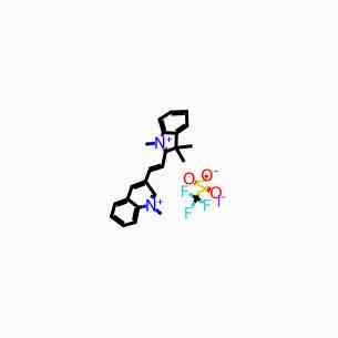 C[N+]1=C(C=Cc2cc3ccccc3[n+](C)c2)C(C)(C)c2ccccc21.O=S(=O)([O-])C(F)(F)F.[I-]